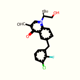 CC(C)(C)[C@@H](CO)n1cc(C=O)c(=O)c2cc(Cc3cccc(Cl)c3F)ccc21